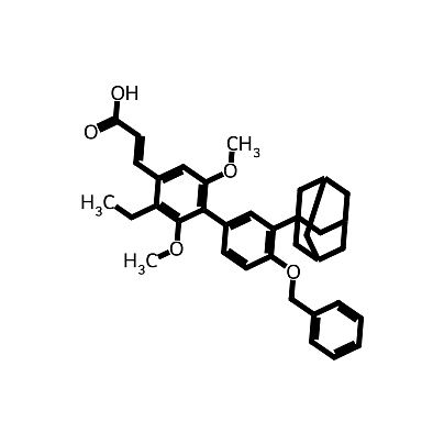 CCc1c(C=CC(=O)O)cc(OC)c(-c2ccc(OCc3ccccc3)c(C34CC5CC(CC(C5)C3)C4)c2)c1OC